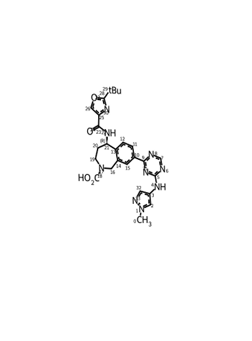 Cn1cc(Nc2ncnc(-c3ccc4c(c3)CN(C(=O)O)CC[C@H]4NC(=O)c3coc(C(C)(C)C)n3)n2)cn1